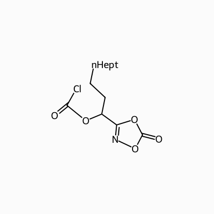 CCCCCCCCCC(OC(=O)Cl)c1noc(=O)o1